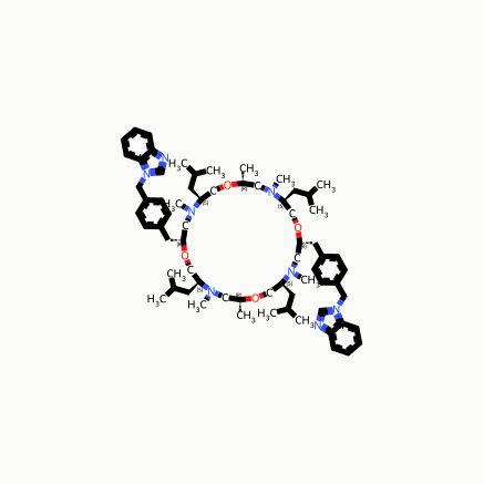 CC(C)C[C@H]1CO[C@H](C)CN(C)[C@@H](CC(C)C)CO[C@H](Cc2ccc(Cn3cnc4ccccc43)cc2)CN(C)[C@@H](CC(C)C)CO[C@H](C)CN(C)[C@@H](CC(C)C)CO[C@H](Cc2ccc(Cn3cnc4ccccc43)cc2)CN1C